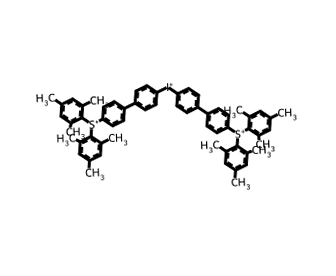 Cc1cc(C)c([S+](c2ccc(-c3ccc([I+]c4ccc(-c5ccc([S+](c6c(C)cc(C)cc6C)c6c(C)cc(C)cc6C)cc5)cc4)cc3)cc2)c2c(C)cc(C)cc2C)c(C)c1